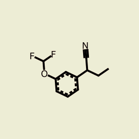 CCC(C#N)c1cccc(OC(F)F)c1